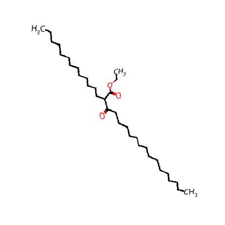 CCCCCCCCCCCCCCCC(=O)C(CCCCCCCCCCCCC)C(=O)OCC